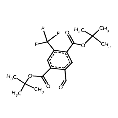 CC(C)(C)OC(=O)c1cc(C(F)(F)F)c(C(=O)OC(C)(C)C)cc1C=O